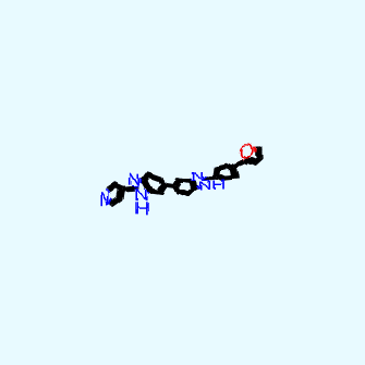 c1coc(-c2ccc(-c3nc4cc(-c5ccc6nc(-c7ccncc7)[nH]c6c5)ccc4[nH]3)cc2)c1